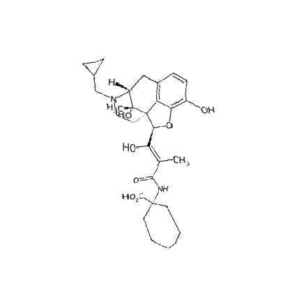 C/C(C(=O)NC1(C(=O)O)CCCCC1)=C(/O)[C@@H]1Oc2c(O)ccc3c2[C@@]12CCN(CC1CC1)[C@H](C3)[C@@]2(C)O